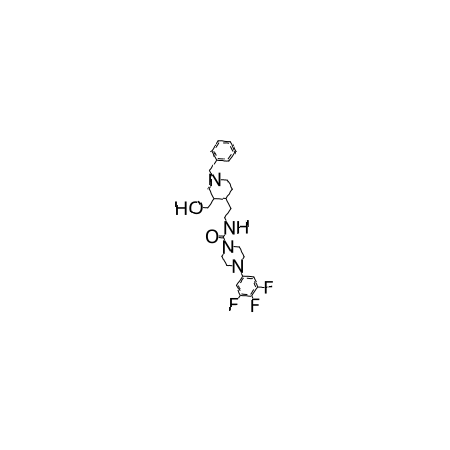 O=C(NCCC1CCN(Cc2ccccc2)CC1CO)N1CCN(c2cc(F)c(F)c(F)c2)CC1